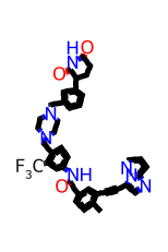 Cc1ccc(C(=O)Nc2ccc(CN3CCN(Cc4cccc(C5CCC(=O)NC5=O)c4)CC3)c(C(F)(F)F)c2)cc1C#Cc1cnc2cccnn12